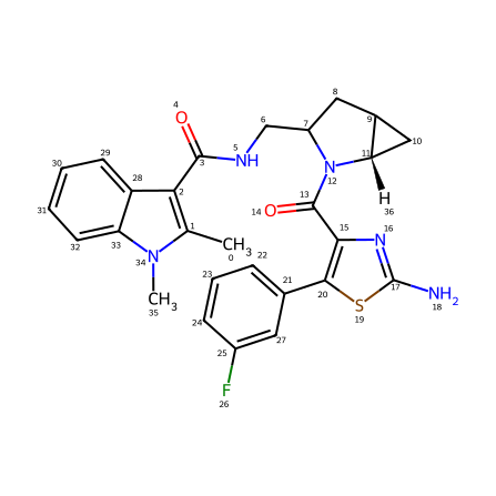 Cc1c(C(=O)NCC2CC3C[C@@H]3N2C(=O)c2nc(N)sc2-c2cccc(F)c2)c2ccccc2n1C